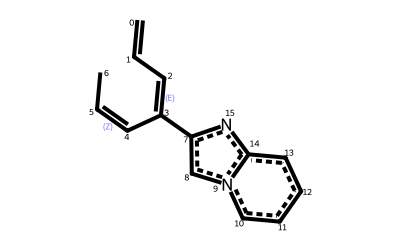 C=C/C=C(\C=C/C)c1cn2ccccc2n1